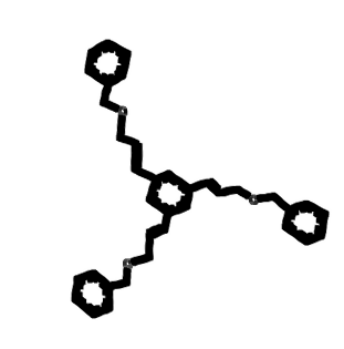 C(=Cc1cc(C=CCOCc2ccccc2)cc(C=CCOCc2ccccc2)c1)COCc1ccccc1